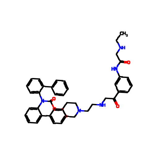 CCNCC(=O)Nc1cccc(C(=O)CNCCN2CCC(OC(=O)N(c3ccccc3-c3ccccc3)c3ccccc3-c3ccccc3)CC2)c1